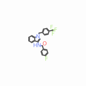 O=C(Nc1cn(Cc2ccc(C(F)(F)F)cc2)c2ccccc12)c1ccc(F)cc1